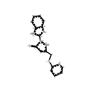 O=c1cc(CSc2ccccn2)[nH]n1-c1nc2ccccc2[nH]1